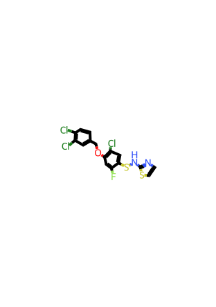 Fc1cc(OCc2ccc(Cl)c(Cl)c2)c(Cl)cc1SNc1nccs1